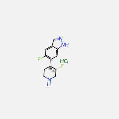 Cl.Fc1cc2cn[nH]c2cc1[C@H]1CCNC[C@H]1F